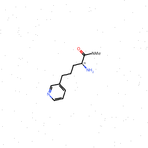 CNC(=O)[C@@H](N)CCCc1cccnc1